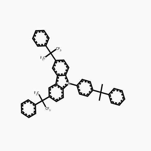 CC(C)(c1ccccc1)c1ccc(-n2c3ccc(C(c4ccccc4)(C(F)(F)F)C(F)(F)F)cc3c3cc(C(c4ccccc4)(C(F)(F)F)C(F)(F)F)ccc32)cc1